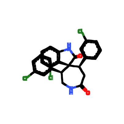 O=C1C[C@H](c2cccc(Cl)c2)[C@@]2(C(=O)Nc3cccc(Cl)c32)[C@H](c2cccc(Cl)c2)CN1